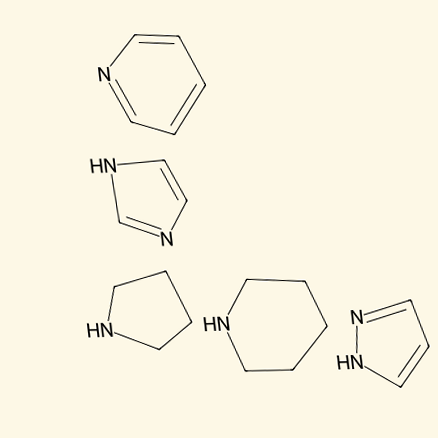 C1CCNC1.C1CCNCC1.c1c[nH]cn1.c1ccncc1.c1cn[nH]c1